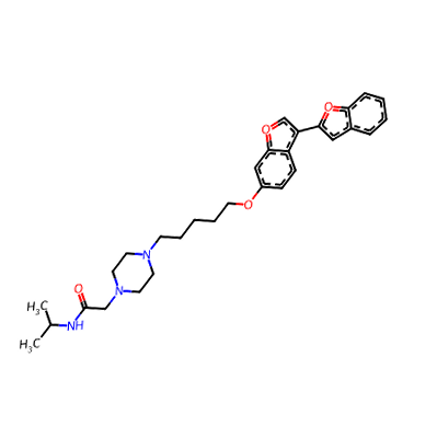 CC(C)NC(=O)CN1CCN(CCCCCOc2ccc3c(-c4cc5ccccc5o4)coc3c2)CC1